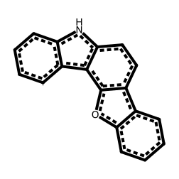 [c]1cccc2[nH]c3ccc4c5ccccc5oc4c3c12